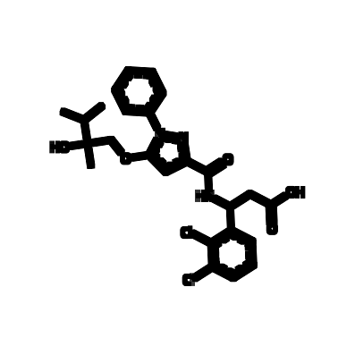 CC(C)C(C)(O)COc1cc(C(=O)NC(CC(=O)O)c2cccc(Cl)c2Cl)nn1-c1ccccc1